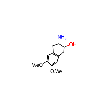 COc1cc2c(cc1OC)C[C@H](O)[C@@H](N)C2